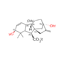 C=C1C[C@]23C[C@@]1(O)CC[C@H]2[C@]1(OC(C)=O)C=C[C@H](O)C(C)(C)C1[C@@H]3C(=O)O